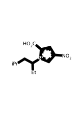 CCC(CC(C)C)n1cc([N+](=O)[O-])cc1C(=O)O